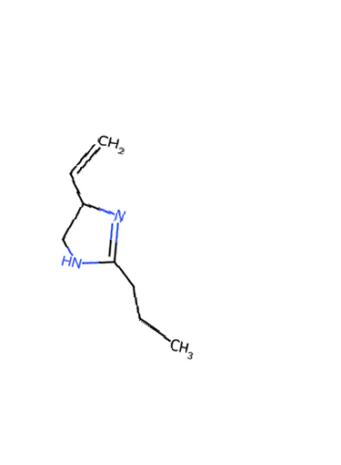 C=CC1CNC(CCC)=N1